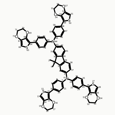 CC1(C)c2cc(N(c3ccc(-c4scc5c4OCCO5)cc3)c3ccc(-c4scc5c4OCCO5)cc3)ccc2-c2ccc(N(c3ccc(-c4scc5c4OCCO5)cc3)c3ccc(-c4scc5c4OCCO5)cc3)cc21